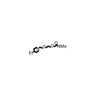 CCC1CCN(CCOCCCOCC(=O)NC)CC1